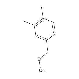 Cc1ccc(COO)cc1C